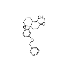 CC1=C2CCCC(=O)[C@@]2(c2cccc(OCc3ccccc3)c2)CCC1=O